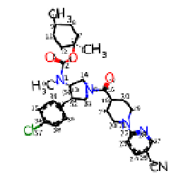 CN(C(=O)O[C@]1(C)CC[C@H](C)CC1)[C@@H]1CN(C(=O)C2CCN(c3ccc(C#N)cn3)CC2)C[C@H]1c1ccc(Cl)cc1